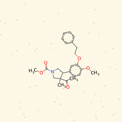 COC(=O)N1CC(c2ccc(OC)c(OCCc3ccccc3)c2)C(C)(C(C)=O)C1